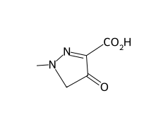 CN1CC(=O)C(C(=O)O)=N1